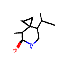 CC(C)C1CNC(=O)C(C)C12CC2